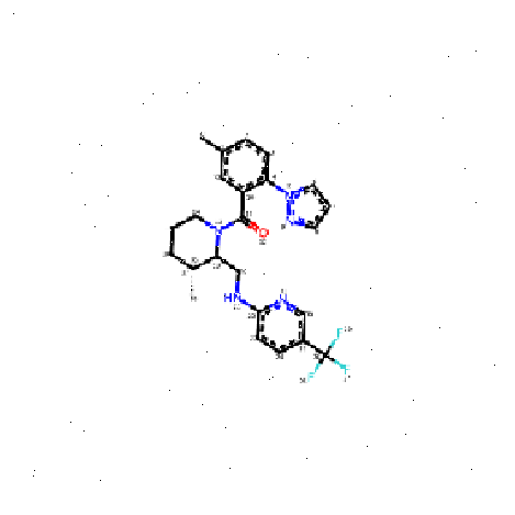 Cc1ccc(-n2cccn2)c(C(=O)N2CCC[C@@H](C)C2CNc2ccc(C(F)(F)F)cn2)c1